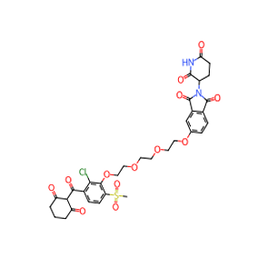 CS(=O)(=O)c1ccc(C(=O)C2C(=O)CCCC2=O)c(Cl)c1OCCOCCOCCOc1ccc2c(c1)C(=O)N(C1CCC(=O)NC1=O)C2=O